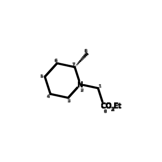 CCOC(=O)CN1CCCC[C@@H]1C